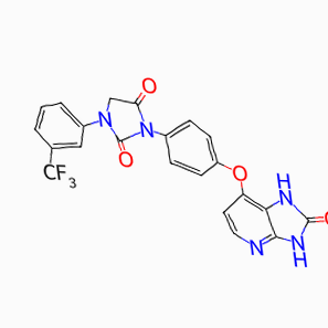 O=C1CN(c2cccc(C(F)(F)F)c2)C(=O)N1c1ccc(Oc2ccnc3[nH]c(=O)[nH]c23)cc1